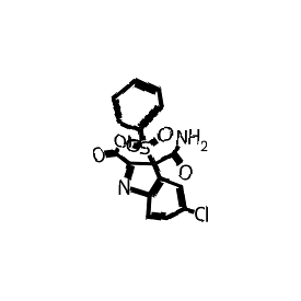 NC(=O)C1(S(=O)(=O)c2ccccc2)C(C(=O)O)=Nc2ccc(Cl)cc21